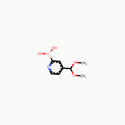 COC(OC)c1ccnc(B(O)O)c1